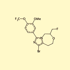 COc1cc(-c2nc(Br)c3n2CC(CF)OCC3)ccc1OC(F)(F)F